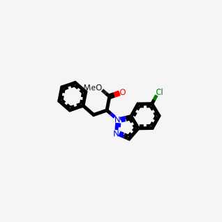 COC(=O)C(Cc1ccccc1)n1ncc2ccc(Cl)cc21